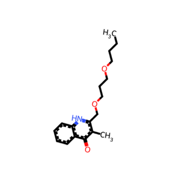 CCCCOCCCOCc1[nH]c2ccccc2c(=O)c1C